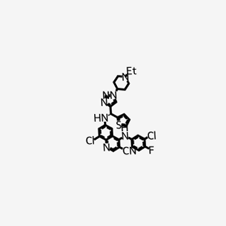 CCN1CCC(n2cc([C@@H](Nc3cc(Cl)c4ncc(C#N)c(Nc5ccc(F)c(Cl)c5)c4c3)c3cccs3)nn2)CC1